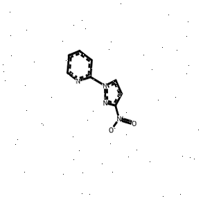 O=[N+]([O-])c1ccn(-c2ccccn2)n1